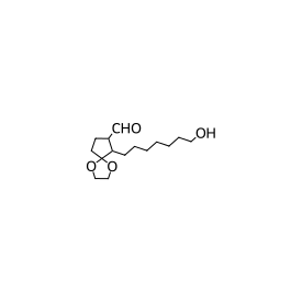 O=CC1CCC2(OCCO2)C1CCCCCCCO